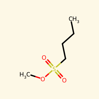 CCCCS(=O)(=O)OC